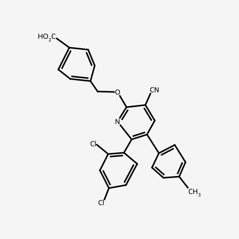 Cc1ccc(-c2cc(C#N)c(OCc3ccc(C(=O)O)cc3)nc2-c2ccc(Cl)cc2Cl)cc1